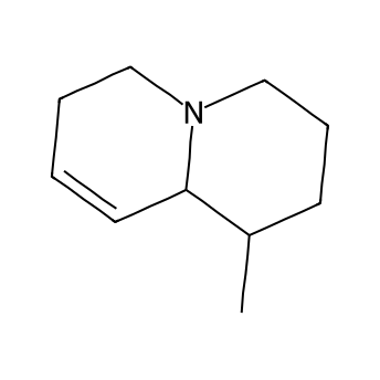 CC1CCCN2CCC=CC12